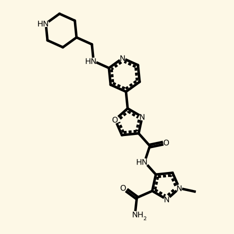 Cn1cc(NC(=O)c2coc(-c3ccnc(NCC4CCNCC4)c3)n2)c(C(N)=O)n1